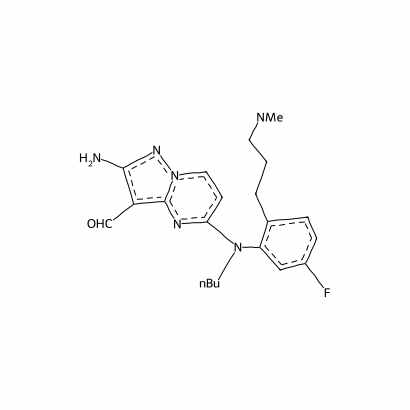 CCCCN(c1ccn2nc(N)c(C=O)c2n1)c1cc(F)ccc1CCCNC